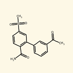 CC(=O)c1cccc(-c2cc(S(C)(=O)=O)ccc2C(N)=O)c1